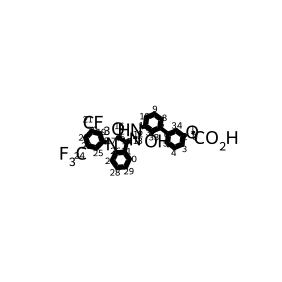 O=C(O)Oc1cccc(-c2cccc(NN=C3C(=O)N(c4cc(C(F)(F)F)cc(C(F)(F)F)c4)c4ccccc43)c2O)c1